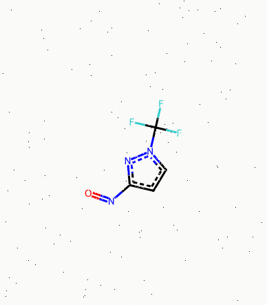 O=Nc1ccn(C(F)(F)F)n1